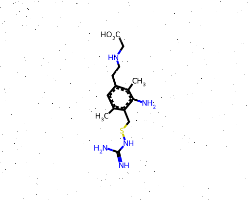 Cc1cc(CCNCC(=O)O)c(C)c(N)c1CSNC(=N)N